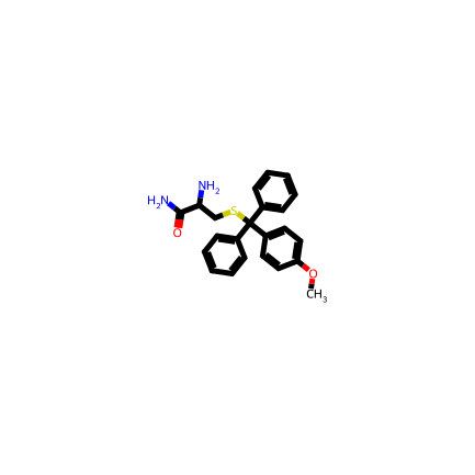 COc1ccc(C(SCC(N)C(N)=O)(c2ccccc2)c2ccccc2)cc1